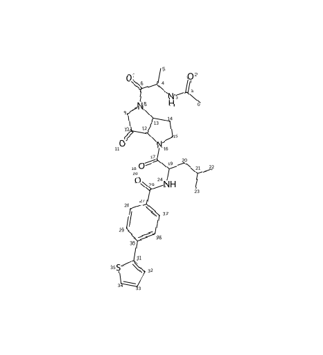 CC(=O)NC(C)C(=O)N1CC(=O)C2C1CCN2C(=O)C(CC(C)C)NC(=O)c1ccc(-c2cccs2)cc1